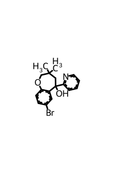 CC1(C)COc2ccc(Br)cc2C(O)(c2ccccn2)C1